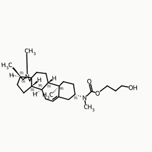 C[C@H]1[C@H]2CC[C@H]3[C@@H]4CC=C5C[C@@H](N(C)C(=O)OCCCO)CC[C@]5(C)[C@H]4CCC23CN1C